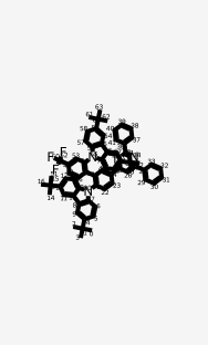 CC(C)(C)c1ccc2c(c1)c1cc(C(C)(C)C)ccc1n2-c1ccc(-c2cc(-c3ccccc3)nc(-c3ccccc3)n2)cc1-c1ccc(C(F)(F)F)cc1-n1c2ccc(C(C)(C)C)cc2c2cc(C(C)(C)C)ccc21